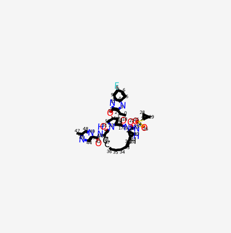 CCc1nc2ccc(F)cc2nc1O[C@@H]1C[C@H]2C(=O)N[C@]3(C(=O)NS(=O)(=O)C4CC4)C[C@H]3C=CCCCCC[C@H](NC(=O)c3cnc(C)cn3)C(=O)N2C1